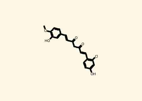 COc1ccc(/C=C/C(=O)CC(=O)/C=C/c2ccc(O)cc2Cl)cc1O